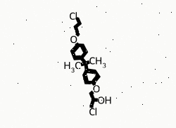 CC(C)(c1ccc(OCCCCl)cc1)c1ccc(OCC(O)CCl)cc1